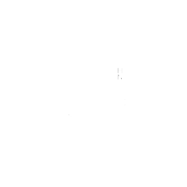 CSC1=CC=C2NCOC2C1